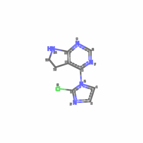 Clc1nccn1-c1ncnc2c1CCN2